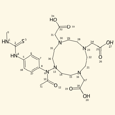 CNC(=S)Nc1ccc(N(C(C)=O)N2CCN(CC(=O)O)CCN(CC(=O)O)CCN(CC(=O)O)CC2)cc1